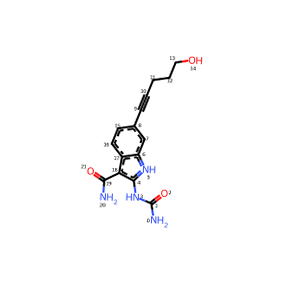 NC(=O)Nc1[nH]c2cc(C#CCCCO)ccc2c1C(N)=O